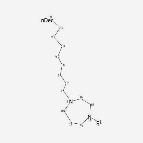 CCCCCCCCCCCCCCCCCCN1CCCN(CC)CC1